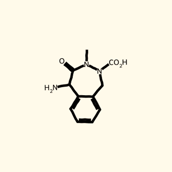 CN1C(=O)C(N)c2ccccc2CN1C(=O)O